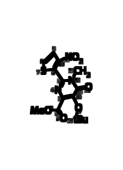 COC(=O)c1nc(-c2sccc2[N+](=O)[O-])n(C)c(=O)c1OC(C)(C)C